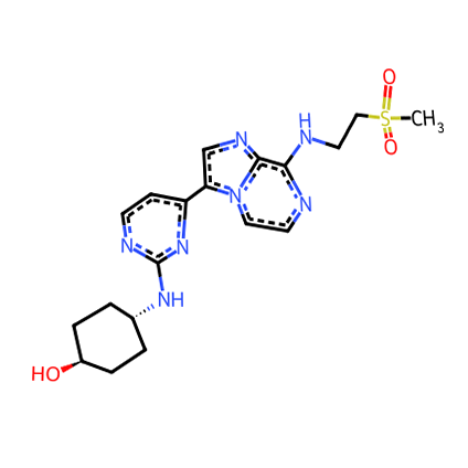 CS(=O)(=O)CCNc1nccn2c(-c3ccnc(N[C@H]4CC[C@H](O)CC4)n3)cnc12